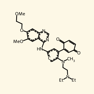 CCN(CC)CCN(C)c1ccc(Nc2ncnc3cc(OCCOC)c(OC)cc23)cc1C1=CC(=O)C=CC1=O